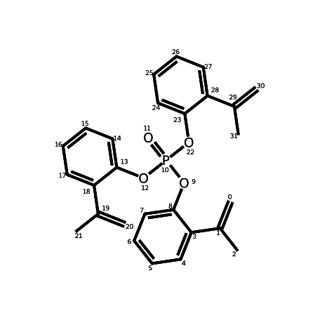 C=C(C)c1ccccc1OP(=O)(Oc1ccccc1C(=C)C)Oc1ccccc1C(=C)C